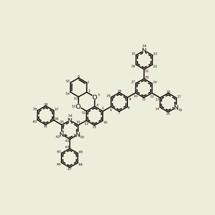 C1=CC2Oc3c(-c4ccc(-c5cc(-c6ccncc6)cc(-c6ccncc6)c5)cc4)ccc(-c4nc(-c5ccccc5)nc(-c5ccccc5)n4)c3OC2C=C1